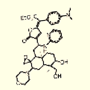 CCOC(=O)/C(=C1/C=C(C(CC2C3(CO3)C(N3CCOCC3)CC3[C@]2(C)CC[C@@H](O)[C@@]3(C)CO)Nc2ccccn2)C(=O)O1)c1ccc(N(C)C)cc1